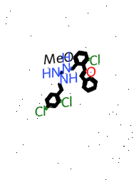 COc1ccc(Cl)c(-c2cc3ccccc3o2)c1CNC(=N)NCCc1ccc(Cl)cc1Cl